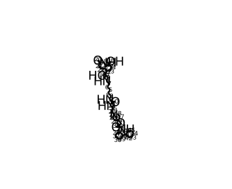 O=C(NCCCCCNCC(O)c1ccc(O)c2[nH]c(=O)ccc12)NCCN1CCC(OC(=O)Nc2ccccc2-c2ccccc2)CC1